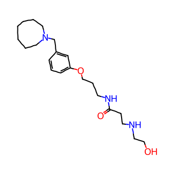 O=C(CCNCCO)NCCCOc1cccc(CN2CCCCCCC2)c1